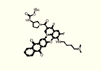 CN(C)CCCCNc1c(F)cc2c(=O)c(C(=O)N3CCC(NC(=O)OC(C)(C)C)C3)cn3c4cc5c(=O)c6ccccc6c(=O)c5cc4oc1c23